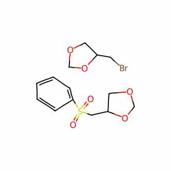 BrCC1COCO1.O=S(=O)(CC1COCO1)c1ccccc1